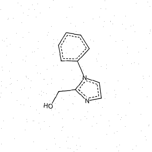 OCc1nccn1-c1ccccc1